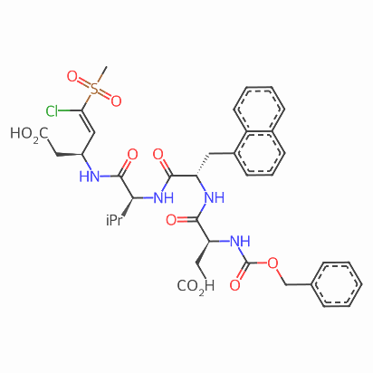 CC(C)[C@H](NC(=O)[C@H](Cc1cccc2ccccc12)NC(=O)[C@H](CC(=O)O)NC(=O)OCc1ccccc1)C(=O)N[C@H](/C=C(\Cl)S(C)(=O)=O)CC(=O)O